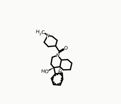 CN1CCC(C(=O)N2CC[C@@](O)(c3ccccc3)[C@@H]3CCCCC32)CC1